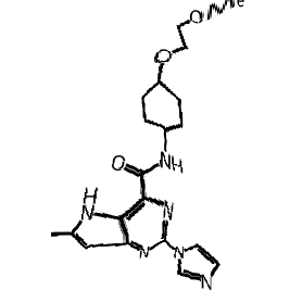 COCCOC1CCC(NC(=O)c2nc(-n3ccnc3)nc3cc(C)[nH]c23)CC1